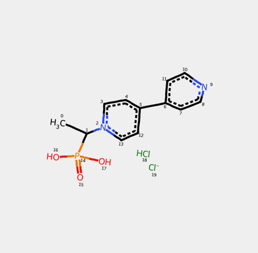 CC([n+]1ccc(-c2ccncc2)cc1)P(=O)(O)O.Cl.[Cl-]